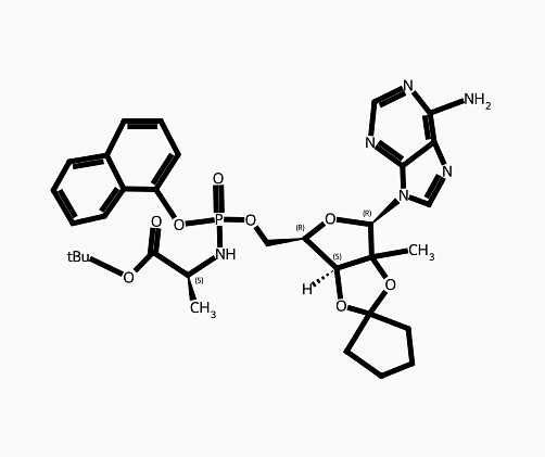 C[C@H](NP(=O)(OC[C@H]1O[C@@H](n2cnc3c(N)ncnc32)C2(C)OC3(CCCC3)O[C@@H]12)Oc1cccc2ccccc12)C(=O)OC(C)(C)C